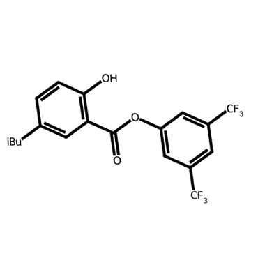 CCC(C)c1ccc(O)c(C(=O)Oc2cc(C(F)(F)F)cc(C(F)(F)F)c2)c1